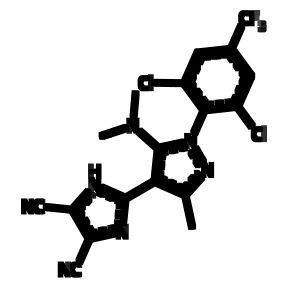 Cc1nn(-c2c(Cl)cc(C(F)(F)F)cc2Cl)c(N(C)C)c1-c1nc(C#N)c(C#N)[nH]1